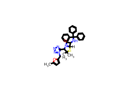 Cc1ccc(Cn2nnnc2C2N3C(=O)C(NC(c4ccccc4)(c4ccccc4)c4ccccc4)[C@@H]3SC2(C)C)o1